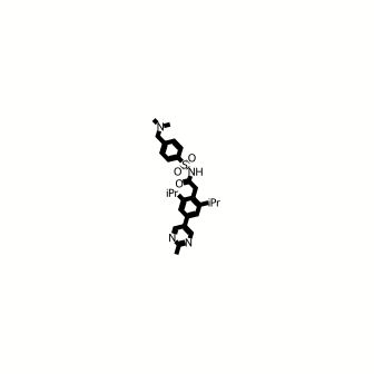 Cc1ncc(-c2cc(C(C)C)c(CC(=O)NS(=O)(=O)c3ccc(CN(C)C)cc3)c(C(C)C)c2)cn1